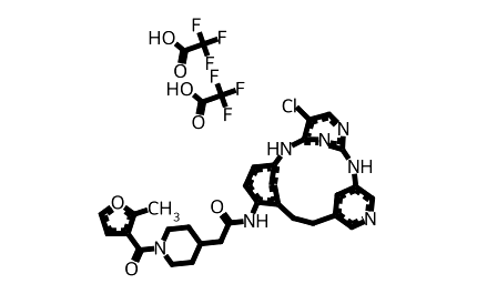 Cc1occc1C(=O)N1CCC(CC(=O)Nc2ccc3cc2CCc2cncc(c2)Nc2ncc(Cl)c(n2)N3)CC1.O=C(O)C(F)(F)F.O=C(O)C(F)(F)F